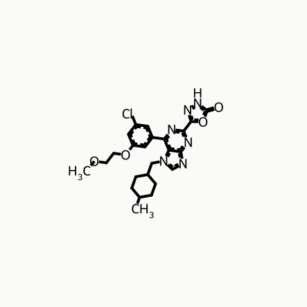 COCCOc1cc(Cl)cc(-c2nc(-c3n[nH]c(=O)o3)nc3ncn(CC4CCC(C)CC4)c23)c1